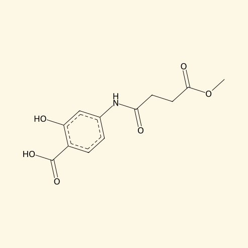 COC(=O)CCC(=O)Nc1ccc(C(=O)O)c(O)c1